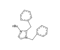 CCCC[n+]1ccn(Cc2ccccc2)c1Cc1ccccc1